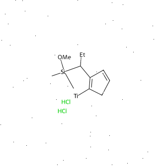 CCC(C1=[C]([Ti])CC=C1)[Si](C)(C)OC.Cl.Cl